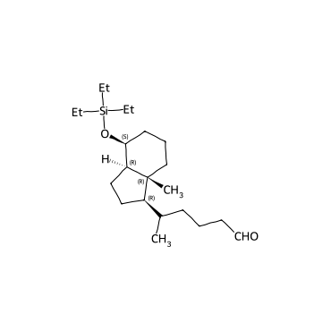 CC[Si](CC)(CC)O[C@H]1CCC[C@]2(C)[C@@H](C(C)CCCC=O)CC[C@@H]12